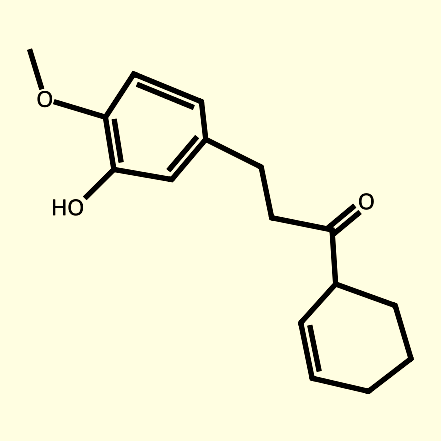 COc1ccc(CCC(=O)C2C=CCCC2)cc1O